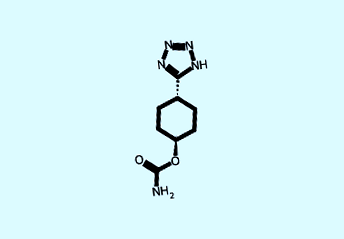 NC(=O)O[C@H]1CC[C@H](c2nnn[nH]2)CC1